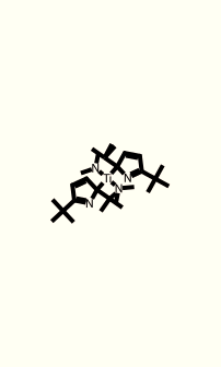 C[N](C)[Ti]([N](C)C)([C]1(C(C)(C)C)C=CC(C(C)(C)C)=N1)[C]1(C(C)(C)C)C=CC(C(C)(C)C)=N1